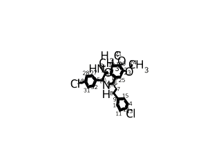 CNC(=O)[C@H](N[C@H](CCc1ccc(Cl)cc1)c1ccc(OC)c(OC)c1)c1ccc(Cl)cc1